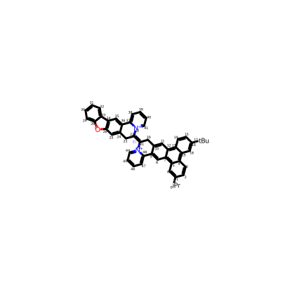 CC(C)c1ccc2c(c1)c1cc3c(cc1c1ccc(C(C)(C)C)cc21)C/C(=C1/Cc2cc4oc5ccccc5c4cc2-c2cccc[n+]21)[n+]1ccccc1-3